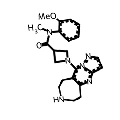 COc1ccccc1N(C)C(=O)C1CN(c2c3c(nc4ccnn24)CCNCC3)C1